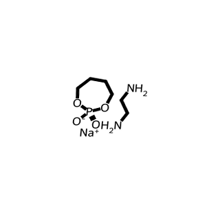 NCCN.O=P1([O-])OCCCCO1.[Na+]